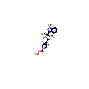 Cn1nc(C(C)(C)NC(=O)[C@H]2[C@@H]3CN(C(=O)OC(C)(C)C)C[C@@H]32)c2ccccc21